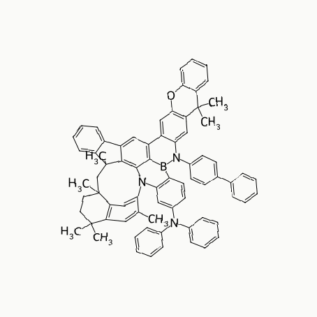 Cc1cc2c3cc1N1c4cc(N(c5ccccc5)c5ccccc5)ccc4B4c5c(cc6c(c51)C(C)(CC3(C)CCC2(C)C)c1ccccc1-6)-c1cc2c(cc1N4c1ccc(-c3ccccc3)cc1)C(C)(C)c1ccccc1O2